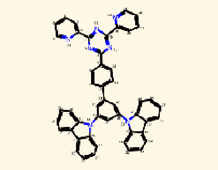 c1ccc(-c2nc(-c3ccc(-c4cc(-n5c6ccccc6c6ccccc65)cc(-n5c6ccccc6c6ccccc65)c4)cc3)nc(-c3ccccn3)n2)nc1